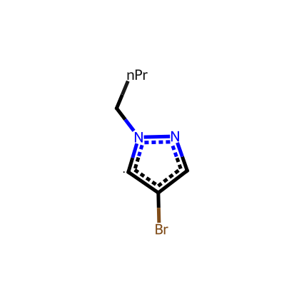 CCCCn1[c]c(Br)cn1